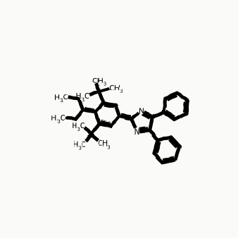 CCC(CC)=c1c(C(C)(C)C)cc(=C2N=C(c3ccccc3)C(c3ccccc3)=N2)cc1C(C)(C)C